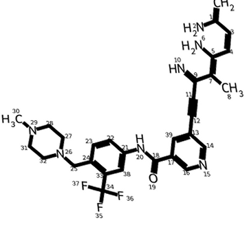 C=C(N)/C=C\C(N)=C(/C)C(=N)C#Cc1cncc(C(=O)Nc2ccc(CN3CCN(C)CC3)c(C(F)(F)F)c2)c1